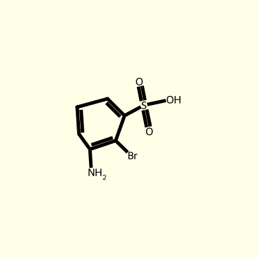 Nc1cccc(S(=O)(=O)O)c1Br